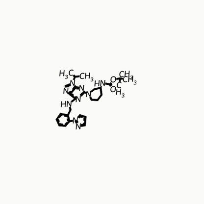 CC(C)n1cnc2c(NCc3ccccc3-n3cccn3)nc(N3CCC[C@H](NC(=O)OC(C)(C)C)C3)nc21